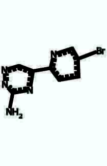 Nc1nncc(-c2ccc(Br)cn2)n1